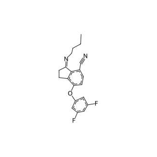 CCCC/N=C1/CCc2c(Oc3cc(F)cc(F)c3)ccc(C#N)c21